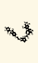 COc1cc(-c2cn(C)c(=O)c3c2CCN(C(=O)NC2CCC4CN(CCOc5ccc6c(c5)C(=O)N(C5CCC(=O)NC5=O)C6=O)CC42)C3)cc(OC)c1CN(C)C